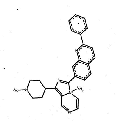 CC(=O)N1CCC(C2=C3C=NC=C[N+]3(N)C(c3ccc4ccc(-c5ccccc5)nc4c3)=N2)CC1